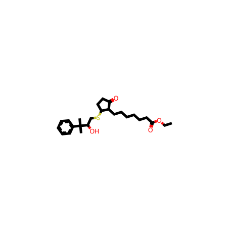 CCOC(=O)CCCCCCC1C(=O)CCC1SCC(O)C(C)(C)c1ccccc1